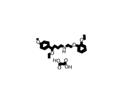 CCOc1ccccc1OCCNCCCC(OCC)c1ccc(OC)cc1.O=C(O)C(=O)O